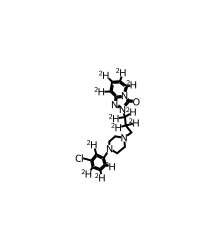 [2H]c1c([2H])c(Cl)c([2H])c(N2CCN(CC([2H])([2H])C([2H])([2H])n3nc4c([2H])c([2H])c([2H])c([2H])n4c3=O)CC2)c1[2H]